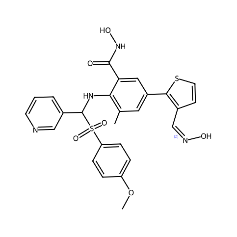 COc1ccc(S(=O)(=O)C(Nc2c(C)cc(-c3sccc3/C=N\O)cc2C(=O)NO)c2cccnc2)cc1